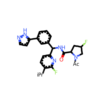 CC(=O)N1CC(F)CC1C(=O)NC(c1cccc(-c2ccn[nH]2)c1)c1ccc(C(C)C)c(F)n1